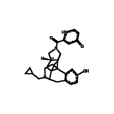 O=C(c1cc(=O)cc[nH]1)N1C[C@H]2CC34CCC1C2C31CCN(CC2CC2)C4Cc2ccc(O)cc21